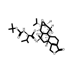 CC(C)[C@@H](NC(=O)OC(C)(C)C)C(=O)O[C@@H]1[C@@]2(C(C)C)O[C@H]2[C@@H]2O[C@]23[C@]12O[C@H]2C[C@H]1C2=C(CC[C@@]13C)C(=O)OC2